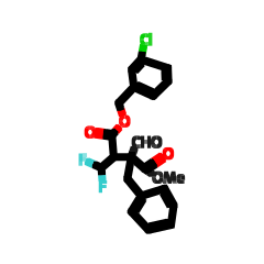 COC(=O)C(C=O)(Cc1ccccc1)C(C(=O)OCc1cccc(Cl)c1)C(F)F